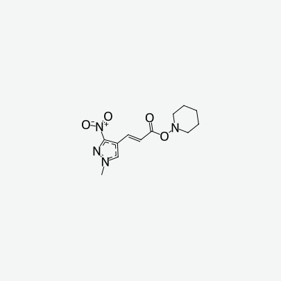 Cn1cc(C=CC(=O)ON2CCCCC2)c([N+](=O)[O-])n1